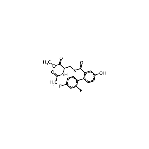 COC(=O)C(CSC(=O)c1cc(O)ccc1-c1ccc(F)cc1F)NC(C)=O